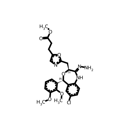 COC(=O)CCc1cnc(C[C@@H]2O[C@@H](c3cccc(OC)c3OC)c3cc(Cl)ccc3NC2=NN)o1